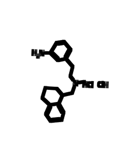 CN(CCc1cccc(N)c1)CC1CCCc2ccccc21.Cl.Cl